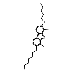 CCCCCCCc1ccc2c(oc3c(C)c(OCCCCC)ccc32)c1C